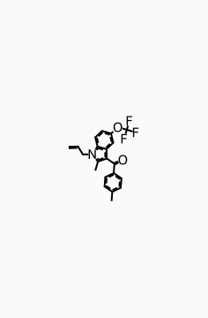 C=CCn1c(C)c(C(=O)c2ccc(C)cc2)c2cc(OC(F)(F)F)ccc21